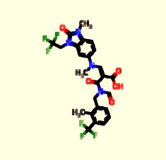 Cc1c(CN(C=O)C(=O)/C(=C\N(C)c2ccc3c(c2)n(CC(F)(F)F)c(=O)n3C)C(=O)O)cccc1C(F)(F)F